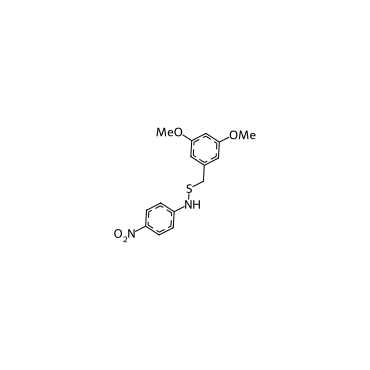 COc1cc(CSNc2ccc([N+](=O)[O-])cc2)cc(OC)c1